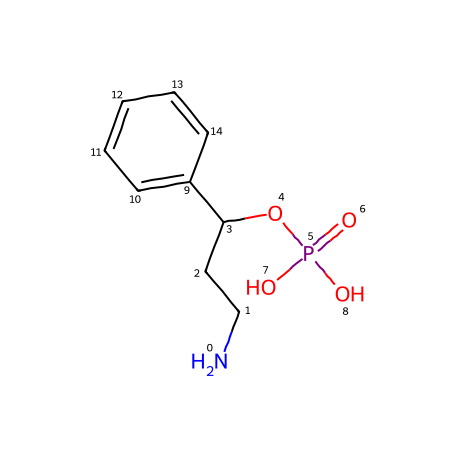 NCCC(OP(=O)(O)O)c1ccccc1